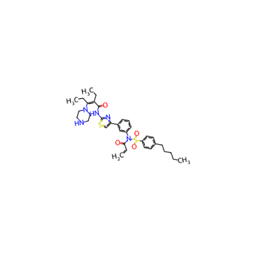 C=CC(=O)N(c1cccc(-c2csc(NC(=O)C(CC)=C(CC)N3CCNCC3)n2)c1)S(=O)(=O)c1ccc(CCCCC)cc1